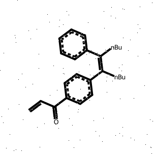 C=CC(=O)c1ccc(C(CCCC)=C(CCCC)c2ccccc2)cc1